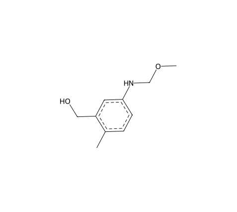 COCNc1ccc(C)c(CO)c1